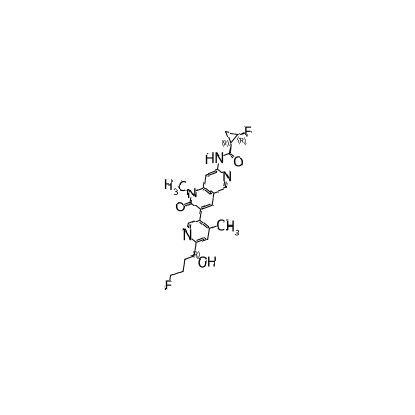 Cc1cc([C@H](O)CCCF)ncc1-c1cc2cnc(NC(=O)[C@H]3C[C@H]3F)cc2n(C)c1=O